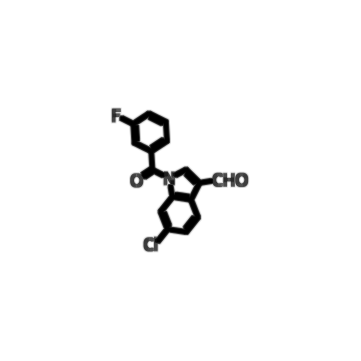 O=Cc1cn(C(=O)c2cccc(F)c2)c2cc(Cl)ccc12